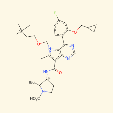 Cc1c(C(=O)N[C@@H]2CCN(C(=O)O)C2C(C)(C)C)c2ncnc(-c3ccc(F)cc3OCC3CC3)c2n1COCC[Si](C)(C)C